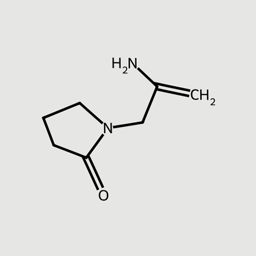 C=C(N)CN1CCCC1=O